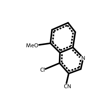 COc1cccc2ncc(C#N)c(Cl)c12